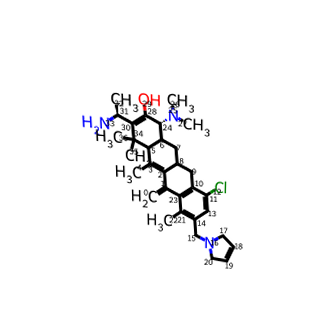 C=C1C2=C(C)C3C(CC2Cc2c(Cl)cc(CN4CC=CC4)c(C)c21)[C@@H](N(C)C)C(O)=C([C@H](C)N)C3(C)C